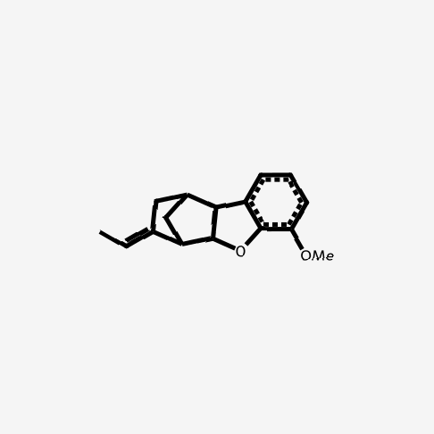 CC=C1CC2CC1C1Oc3c(OC)cccc3C21